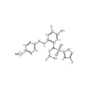 Cc1csc(S(=O)(=O)N(CC(C)F)c2cc(Cl)c(C)cc2OCc2ccc(C(=O)O)cc2)n1